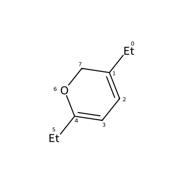 CCC1=CC=C(CC)OC1